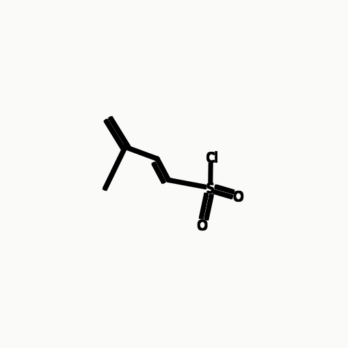 C=C(C)C=CS(=O)(=O)Cl